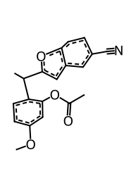 COc1ccc(C(C)c2cc3cc(C#N)ccc3o2)c(OC(C)=O)c1